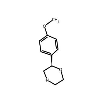 COc1ccc([C@@H]2C[N]CCO2)cc1